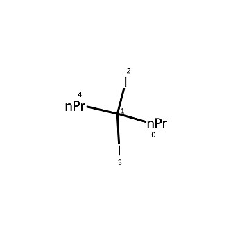 CCCC(I)(I)CCC